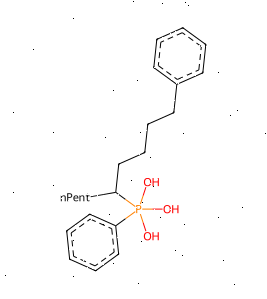 CCCCCC(CCCCc1ccccc1)P(O)(O)(O)c1ccccc1